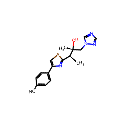 C[C@@H](c1nc(-c2ccc(C#N)cc2)cs1)[C@](C)(O)Cn1cncn1